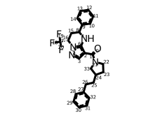 O=C(c1cnn2c1NC(c1ccccc1)C[C@H]2C(F)(F)F)N1CCC(CCc2ccccc2)C1